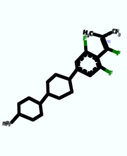 CCCC1CCC(C2CCC(c3cc(F)c(/C(F)=C(\C)C(F)(F)F)c(F)c3)CC2)CC1